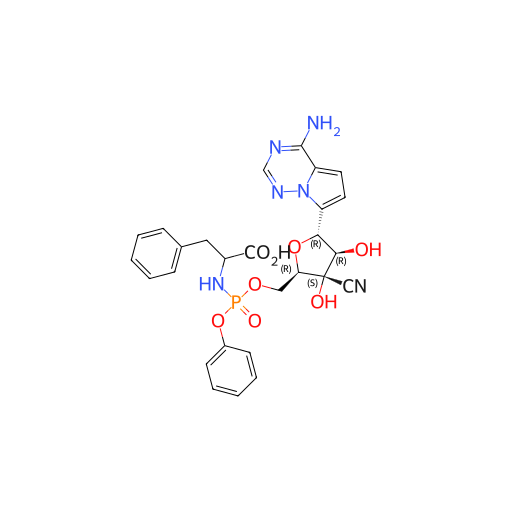 N#C[C@]1(O)[C@H](O)[C@@H](c2ccc3c(N)ncnn23)O[C@@H]1COP(=O)(NC(Cc1ccccc1)C(=O)O)Oc1ccccc1